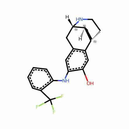 Oc1cc2c(cc1Nc1ccccc1C(F)(F)F)C[C@@H]1NCC[C@]23CCCC[C@H]13